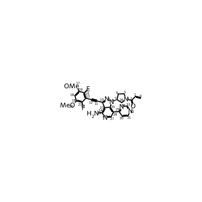 C=CC(=O)N1CC[C@H](n2nc(C#Cc3c(F)c(OC)cc(OC)c3F)c3c(N)ncc(-c4ccncn4)c32)C1